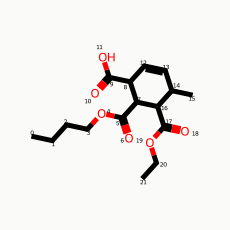 CCCCOC(=O)C1C(C(=O)O)C=CC(C)C1C(=O)OCC